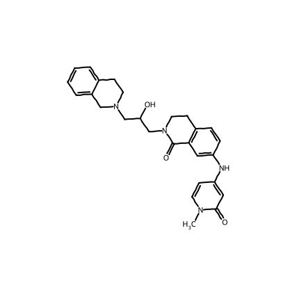 Cn1ccc(Nc2ccc3c(c2)C(=O)N(CC(O)CN2CCc4ccccc4C2)CC3)cc1=O